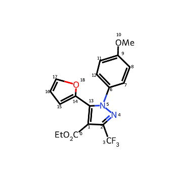 CCOC(=O)c1c(C(F)(F)F)nn(-c2ccc(OC)cc2)c1-c1ccco1